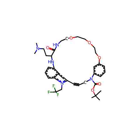 CN(C)CCC1Nc2cccc3c2cc(n3CC(F)(F)F)C#CCN(C(=O)OC(C)(C)C)c2cccc(c2)OCCOCCOCCNC1=O